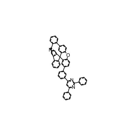 N#Cc1ccccc1-c1ccc2c(c1)C1(c3cc(-c4cccc(-c5cc(-c6ccccc6)nc(-c6ccccc6)n5)c4)ccc3O2)c2ccccc2-c2ccccc21